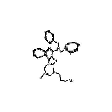 COCCN1CC(C)Cn2c1nc1c(N(Cc3ccccc3)Cc3ccccc3)nc3ccccc3c12